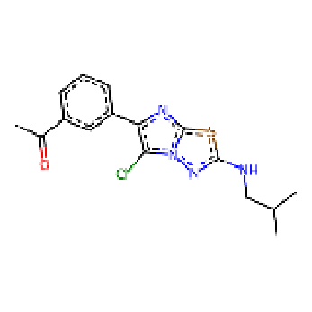 CC(=O)c1cccc(-c2nc3sc(NCC(C)C)nn3c2Cl)c1